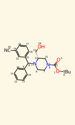 CC(C)(C)OC(=O)N1CCN(C(c2ccccc2)c2cccc(C#N)c2)[C@H](CO)C1